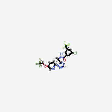 C[C@H](NC(=O)c1cc(Cl)cc(C(F)(F)F)c1)c1ncnn1-c1ccc(OCC(F)(F)F)cn1